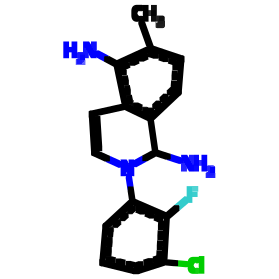 Cc1ccc2c(c1N)C=CN(c1cccc(Cl)c1F)C2N